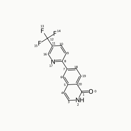 O=c1[nH]ccc2cc(-c3ccc(C(F)(F)F)cn3)ccc12